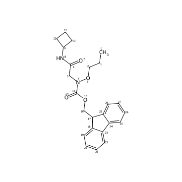 CCCON(CC(=O)NC1CCC1)C(=O)OCC1c2ccccc2-c2ccccc21